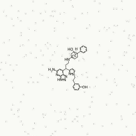 Nc1cc(C(CCNC23CCC(c4ccccc4)(CC2)[C@H](O)C3)c2ccn(CCc3cccc(O)c3)n2)c2nn[nH]c2n1